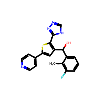 Cc1c(F)cccc1C(O)c1cc(-c2ccncc2)sc1-c1nnc[nH]1